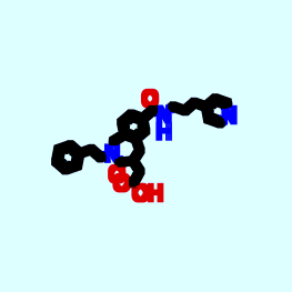 O=C(O)CC1Cc2cc(C(=O)NCCCc3ccncc3)ccc2CN(CCc2ccccc2)C1=O